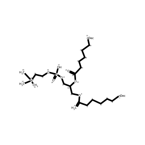 C=C(CCCCCCCCCCCCCCC)OCC(COP(=O)(O)OCC[N+](C)(C)C)OC(=O)CCCCCCCCCCCCCCC